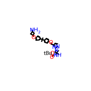 CC1(NC(=O)OC(C)(C)C)CN(c2nccc(COc3ccc(C(C)(C)c4ccc(OC5CC(N)C5)cc4)cc3)n2)C1